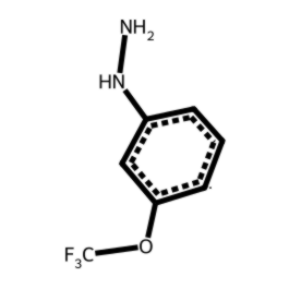 NNc1cc[c]c(OC(F)(F)F)c1